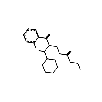 CCCC(=O)CCC1C(=O)c2ccccc2OC1C1CCCCC1